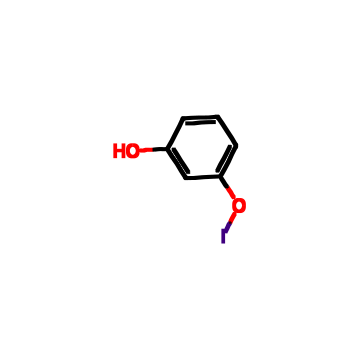 Oc1cccc(OI)c1